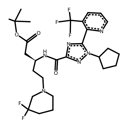 CC(C)(C)OC(=O)C[C@H](CCN1CCCC(F)(F)C1)NC(=O)c1nc(-c2ncccc2C(F)(F)F)n(C2CCCC2)n1